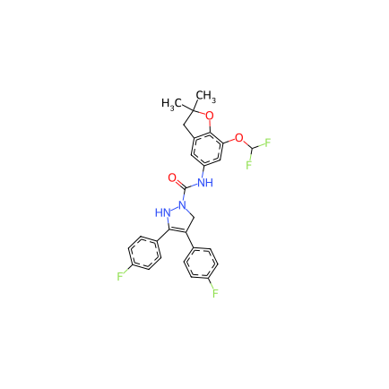 CC1(C)Cc2cc(NC(=O)N3CC(c4ccc(F)cc4)=C(c4ccc(F)cc4)N3)cc(OC(F)F)c2O1